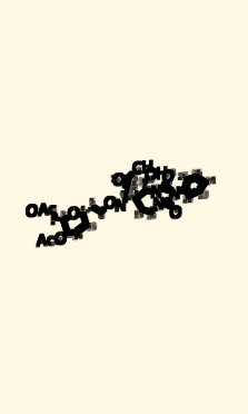 CC(=O)OC[C@H]1O[C@H](CCO/N=C(\[C@H]2OC2C)[C@H]2CCn3c(=O)n(-c4ccccc4)c(=O)n3[C@H]2CO)C=C[C@@H]1OC(C)=O